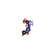 CC(=O)c1cc2c(cc1NC(=O)CN1CCN(C(=O)c3cccc(F)c3)CC1)OCO2